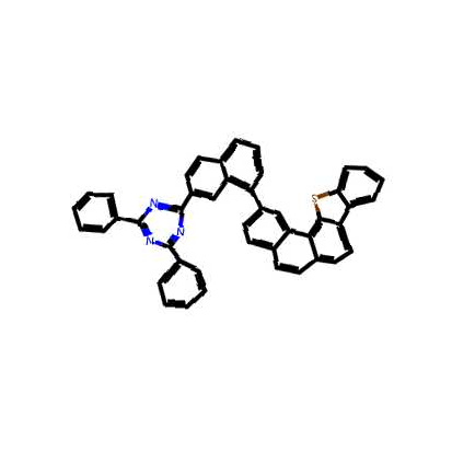 c1ccc(-c2nc(-c3ccccc3)nc(-c3ccc4cccc(-c5ccc6ccc7ccc8c9ccccc9sc8c7c6c5)c4c3)n2)cc1